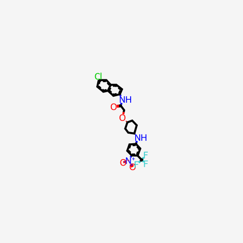 O=C(CO[C@H]1CC[C@H](Nc2ccc([N+](=O)[O-])c(C(F)(F)F)c2)CC1)Nc1ccc2cc(Cl)ccc2c1